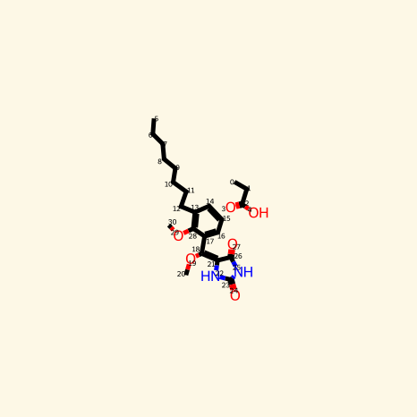 CCC(=O)O.CCCCCCCCc1cccc(C(OC)=C2NC(=O)NC2=O)c1OC